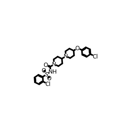 O=C(NS(=O)(=O)c1ccccc1Cl)N1CCC(N2CCC(Oc3ccc(Cl)cc3)CC2)CC1